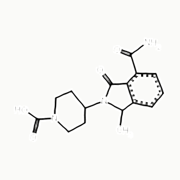 CC1c2cccc(C(N)=O)c2C(=O)N1C1CCN(C(=O)O)CC1